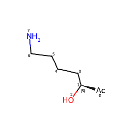 CC(=O)[C@@H](O)CCCCN